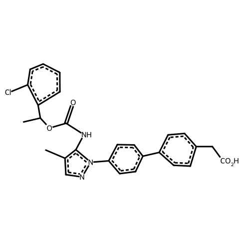 Cc1cnn(-c2ccc(-c3ccc(CC(=O)O)cc3)cc2)c1NC(=O)OC(C)c1ccccc1Cl